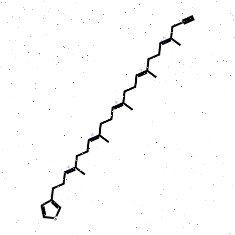 C#CC/C(C)=C/CC/C(C)=C/CC/C(C)=C/CC/C(C)=C/CC/C(C)=C/CCc1ccsc1